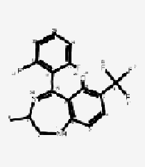 CC1CNc2ccc(C(F)(F)F)c(Cl)c2C(c2c(F)cccc2F)=N1